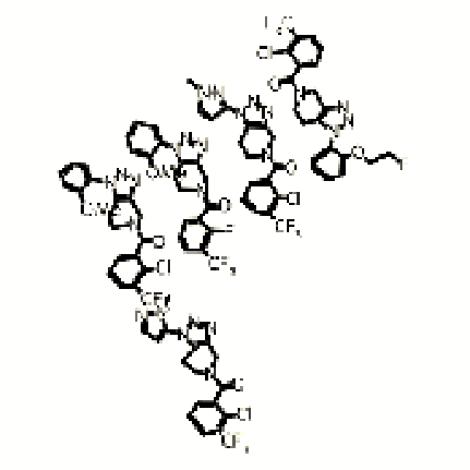 COc1ccccc1-n1nnc2c1CCN(C(=O)c1cccc(C(F)(F)F)c1Cl)C2.COc1ccccc1-n1nnc2c1CCN(C(=O)c1cccc(C(F)(F)F)c1F)C2.Cn1ccc(-n2nnc3c2CCN(C(=O)c2cccc(C(F)(F)F)c2Cl)C3)n1.Cn1nccc1-n1nnc2c1CCN(C(=O)c1cccc(C(F)(F)F)c1Cl)C2.O=C(c1cccc(C(F)(F)F)c1Cl)N1CCc2c(nnn2-c2ccccc2OCCF)C1